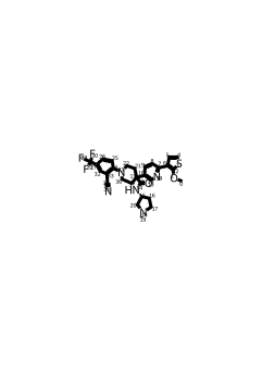 COc1sccc1-c1ccc(C2(C(=O)N[C@@H]3CCN(C)C3)CCN(c3ccc(C(F)(F)F)cc3C#N)CC2)cn1